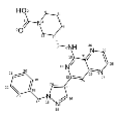 O=C(O)N1CCC[C@H](CNc2nc(-c3cnn(Cc4ccccc4)c3)cc3nccnc23)C1